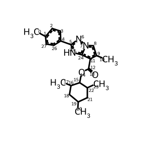 Cc1ccc(-c2nn3cc(C)c(C(=O)OC4C(C)CC(C)CC4C)c3[nH]2)cc1